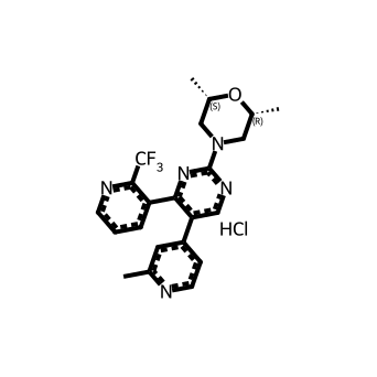 Cc1cc(-c2cnc(N3C[C@@H](C)O[C@@H](C)C3)nc2-c2cccnc2C(F)(F)F)ccn1.Cl